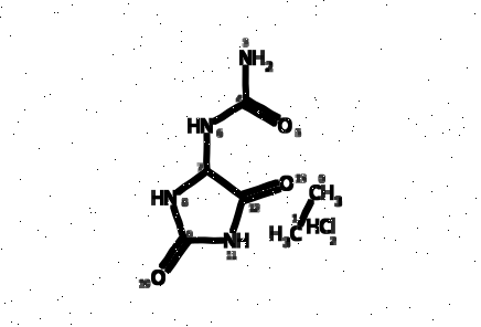 CC.Cl.NC(=O)NC1NC(=O)NC1=O